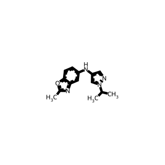 Cc1nc2cc(Nc3cnn(C(C)C)c3)ccc2o1